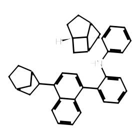 c1ccc(-c2ccc(C3CC4CCC3C4)c3ccccc23)c(Nc2ccccc2[C@@]23C4CC[C@H]2CC3C4)c1